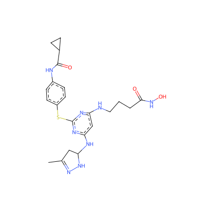 CC1=NNC(Nc2cc(NCCCC(=O)NO)nc(Sc3ccc(NC(=O)C4CC4)cc3)n2)C1